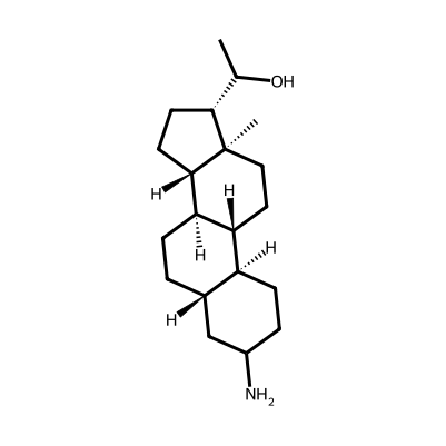 CC(O)[C@H]1CC[C@H]2[C@@H]3CC[C@H]4CC(N)CC[C@@H]4[C@H]3CC[C@]12C